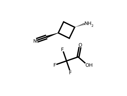 N#C[C@H]1C[C@H](N)C1.O=C(O)C(F)(F)F